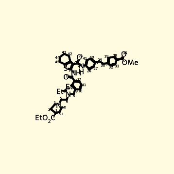 CCOC(=O)C1CCN(CCN(Cc2cccc(C(=O)Nc3sc4c(c3C(=O)Nc3ccc(CCc5ccc(C(=O)OC)cc5)cc3)CCCC4)c2)C(CC)CC)CC1